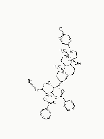 C[C@]12CC[C@H](OC3OCC(N=[N+]=[N-])[C@@H](OC(=O)c4ccccc4)[C@@H]3OC(=O)c3ccccc3)C=C1CCC1C2CC[C@]2(C)[C@@H](c3ccc(=O)oc3)CC[C@]12O